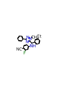 CCc1cccc(C(Nc2ccc(C#N)c(F)c2)c2nc(-c3ccccc3)nn2C)c1